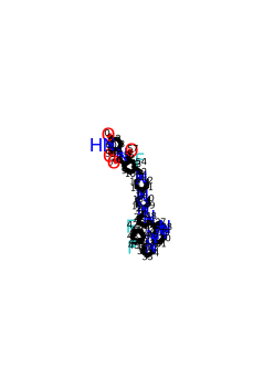 O=C1CCC(N2C(=O)c3ccc(CN4CCC(N5CCN(c6cccc(-c7cnn8ccc(N9CCC[C@@H]9c9ccc(F)cc9F)nc78)n6)CC5)CC4)c(F)c3C2=O)C(=O)N1